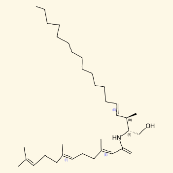 C=C(/C=C(\C)CC/C=C(\C)CCC=C(C)C)N[C@@H](CO)[C@H](C)/C=C/CCCCCCCCCCCCC